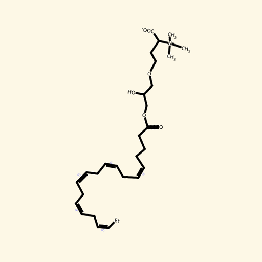 CC/C=C\C/C=C\C/C=C\C/C=C\C/C=C\CCCC(=O)OCC(O)COCCC(C(=O)[O-])[N+](C)(C)C